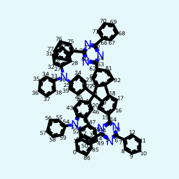 c1ccc(-c2nc(-c3ccccc3)nc(-c3ccc4c(c3)C(c3ccc(N(c5ccccc5)c5ccccc5)cc3)(c3ccc5c(c3)c3ccccc3n5-c3ccccc3)c3cc(-c5nc(-c6ccccc6)nc(-c6ccccc6)n5)ccc3-4)n2)cc1